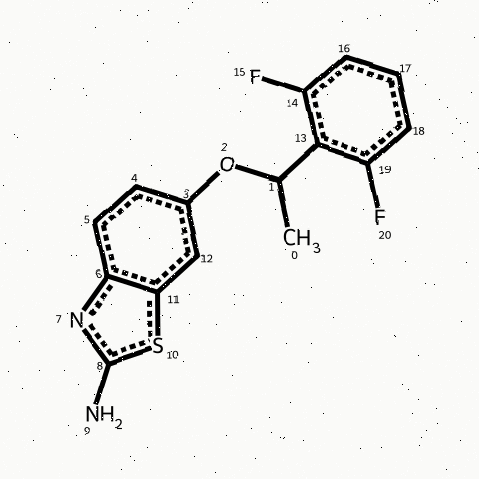 CC(Oc1ccc2nc(N)sc2c1)c1c(F)cccc1F